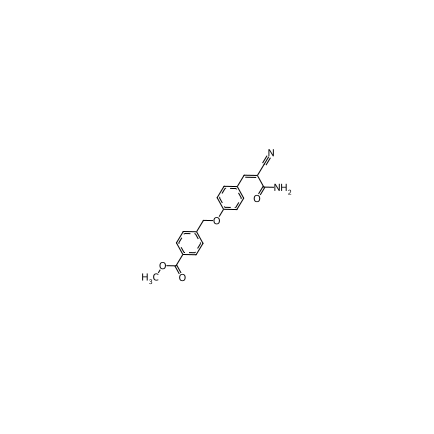 COC(=O)c1ccc(COc2ccc(C=C(C#N)C(N)=O)cc2)cc1